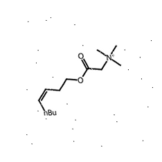 CCCC/C=C\CCOC(=O)C[N+](C)(C)C